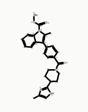 Cc1c[nH]c(C2CCN(C(=O)c3ccc(-c4c(C)n(C(=O)OC(C)(C)C)c5ccccc45)cc3)CC2)n1